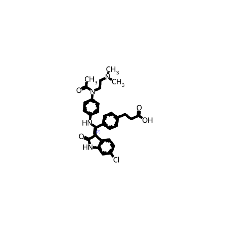 CC(=O)N(CCN(C)C)c1ccc(N/C(=C2\C(=O)Nc3cc(Cl)ccc32)c2ccc(CCC(=O)O)cc2)cc1